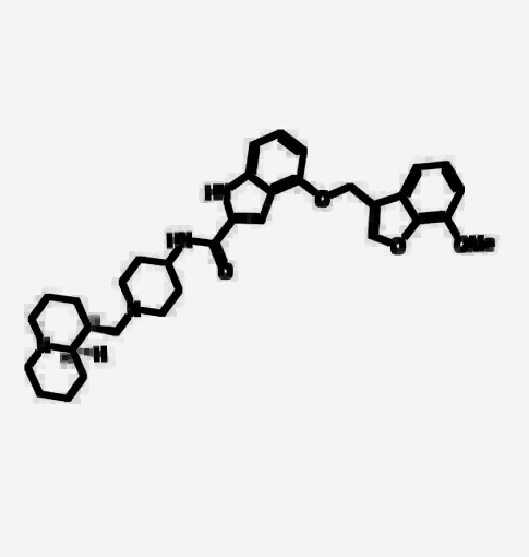 COc1cccc2c(COc3cccc4[nH]c(C(=O)NC5CCN(C[C@@H]6CCCN7CCCC[C@H]67)CC5)cc34)coc12